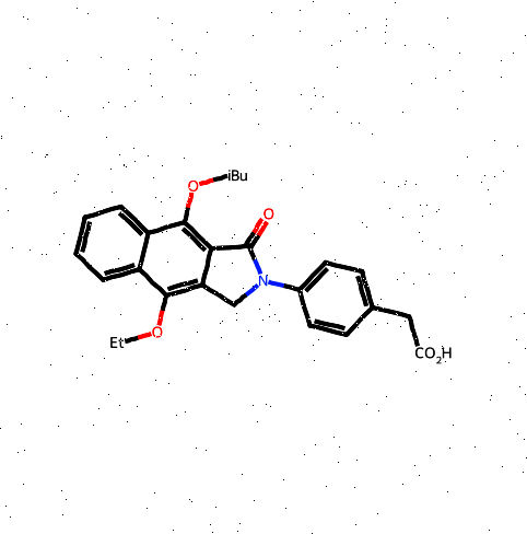 CCOc1c2c(c(OC(C)CC)c3ccccc13)C(=O)N(c1ccc(CC(=O)O)cc1)C2